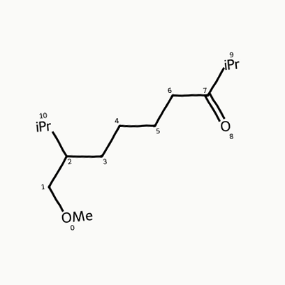 COCC(CCCCC(=O)C(C)C)C(C)C